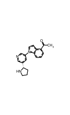 CC(=O)c1cccc2c1ccn2-c1cncc([C@@H]2CCCN2)c1